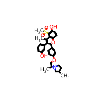 CC1=C(c2cccc(O)c2)C(c2ccc(OCC(C)N3CCC(C)C3)cc2)Oc2ccc(O)c(S(C)(=O)=O)c21